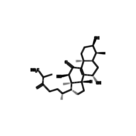 C=C(CC[C@@H](C)[C@H]1CC[C@H]2C3=C(C(=O)[C@H](O)[C@]12C)[C@@]1(C)CC[C@@H](O)[C@@H](C)C1C[C@@H]3O)C(C)C(=O)O